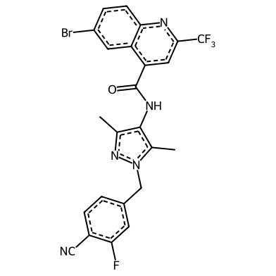 Cc1nn(Cc2ccc(C#N)c(F)c2)c(C)c1NC(=O)c1cc(C(F)(F)F)nc2ccc(Br)cc12